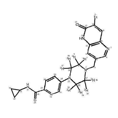 [2H]C1([2H])N(Cc2cnc3cc(CC)c(=O)[nH]c3c2)C([2H])([2H])C([2H])([2H])N(c2ccc(C(=O)NC3CC3)nc2)C1([2H])[2H]